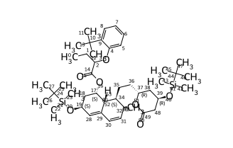 CCC(Oc1ccccc1C(C)(C)C)C(=O)O[C@H]1C[C@H](O[Si](C)(C)C(C)(C)C)C=C2C=C[C@H](C)[C@H](CC[C@@H]3C[C@@H](O[Si](C)(C)C(C)(C)C)CC(=O)O3)[C@H]21